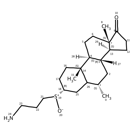 C[C@H]1C[C@@H]2[C@H](CC[C@]3(C)C(=O)CC[C@@H]23)[C@@]2(C)CC[C@@H]([S+]([O-])CCCN)CC12